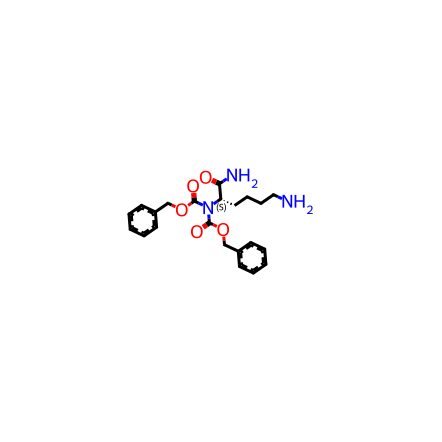 NCCCC[C@@H](C(N)=O)N(C(=O)OCc1ccccc1)C(=O)OCc1ccccc1